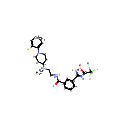 C/C=C(F)\C(=C/C)N1CCC(N(C)CCNC(=O)c2cccc(-c3noc(C(F)(F)F)n3)c2)CC1